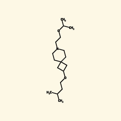 CC(C)CCOC1CC2(CCN(CCOC(C)C)CC2)C1